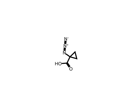 [N-]=[N+]=NC1(C(=O)O)CC1